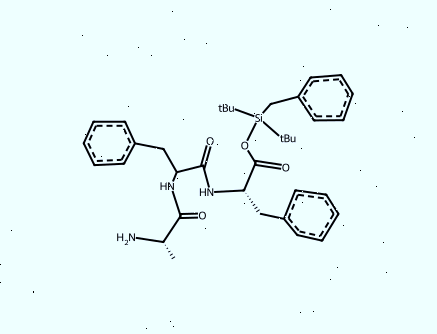 C[C@H](N)C(=O)NC(Cc1ccccc1)C(=O)N[C@@H](Cc1ccccc1)C(=O)O[Si](Cc1ccccc1)(C(C)(C)C)C(C)(C)C